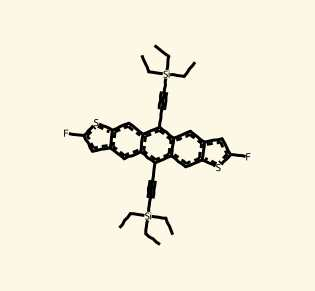 CC[Si](C#Cc1c2cc3cc(F)sc3cc2c(C#C[Si](CC)(CC)CC)c2cc3cc(F)sc3cc12)(CC)CC